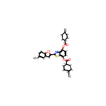 CCCc1ccc2oc(-c3nc4c(OC(=O)C5CCC(C(C)=O)CC5)ccc(OC(=O)C5CCC(C(C)=O)CC5)c4s3)cc2c1